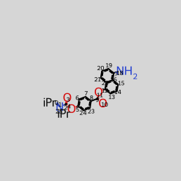 CC(C)N(C(=O)Oc1ccc(C(=O)Oc2cccc3c(N)cccc23)cc1)C(C)C